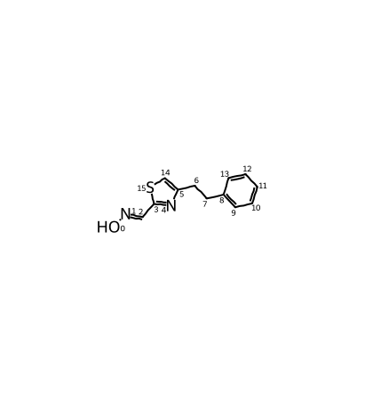 ON=Cc1nc(CCc2ccccc2)cs1